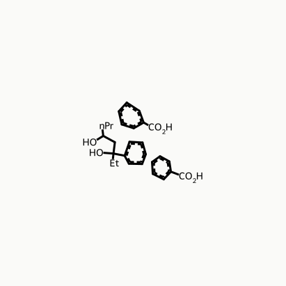 CCCC(O)CC(O)(CC)c1ccccc1.O=C(O)c1ccccc1.O=C(O)c1ccccc1